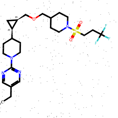 CCc1cnc(N2CCC([C@H]3C[C@H]3COCC3CCN(S(=O)(=O)CCC(F)(F)F)CC3)CC2)nc1